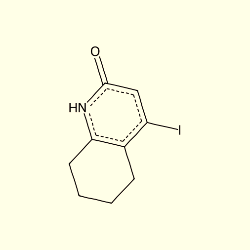 O=c1cc(I)c2c([nH]1)CCCC2